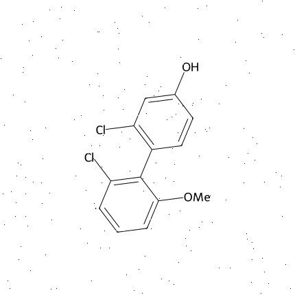 COc1cc[c]c(Cl)c1-c1ccc(O)cc1Cl